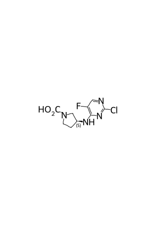 O=C(O)N1CC[C@H](Nc2nc(Cl)ncc2F)C1